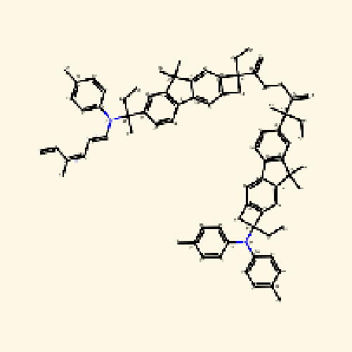 C=C/C(C)=C\C=C\N(c1ccc(C)cc1)C(C)(CC)c1ccc2c(c1)C(C)(C)c1cc3c(cc1-2)CC3(CC)C(=C)CCC(=C)C(C)(CC)c1ccc2c(c1)C(C)(C)c1cc3c(cc1-2)CC3(CC)N(c1ccc(C)cc1)c1ccc(C)cc1